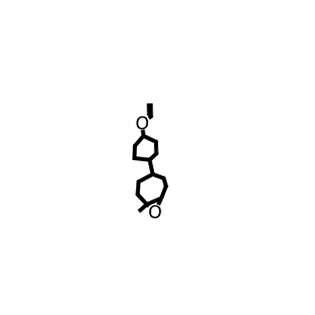 C=COC1CCC(C2CCC3OC3(C)CC2)CC1